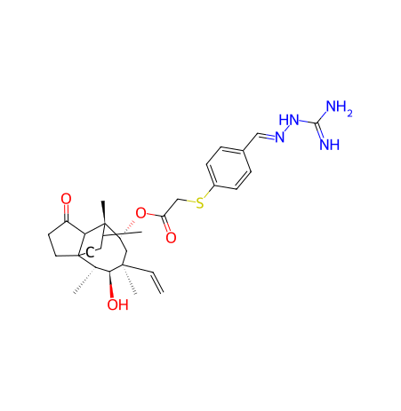 C=C[C@]1(C)C[C@@H](OC(=O)CSc2ccc(/C=N/NC(=N)N)cc2)[C@]2(C)C(C)CCC3(CCC(=O)C32)[C@@H](C)[C@@H]1O